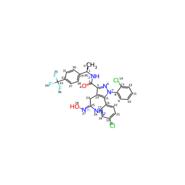 C[C@@H](NC(=O)c1nn(-c2ccccc2Cl)c(-c2ccc(Cl)cc2)c1C/C(N)=N\O)c1ccc(C(F)(F)F)cc1